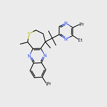 CCc1nc(C(C)(C)C2(C)CCSC(C)c3nc4ccc(C(C)C)cc4nc32)cnc1C(C)C